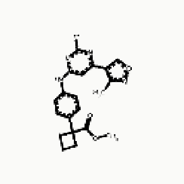 COC(=O)C1(c2ccc(Nc3cc(-c4conc4C)nc(Cl)n3)cc2)CCC1